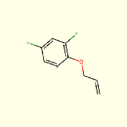 C=CCOc1[c]cc(F)cc1F